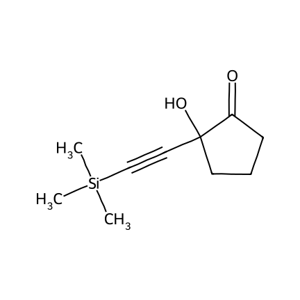 C[Si](C)(C)C#CC1(O)CCCC1=O